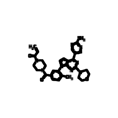 C=CC(=O)N1CCN(C(=O)c2ccc(C)c(-n3ccc4c(-c5cnc(N)nc5)nc(N5CCOCC5)nc43)c2)CC1